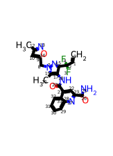 C=CC(F)(F)c1nn(Cc2cc(C)no2)c(C)c1NC(=O)c1cc(C(N)=O)nc2ccccc12